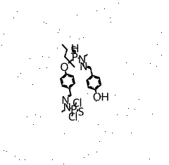 CCCC(C)(Oc1ccc(/C=N/N(C)P(=S)(Cl)Cl)cc1)[PH](=S)N(C)/N=C/c1ccc(O)cc1